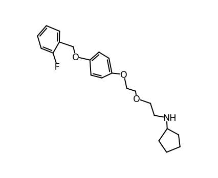 Fc1ccccc1COc1ccc(OCCOCCNC2CCCC2)cc1